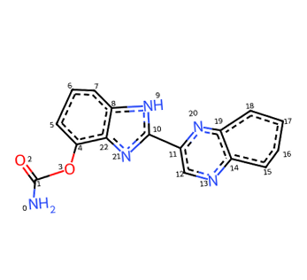 NC(=O)Oc1cccc2[nH]c(-c3cnc4ccccc4n3)nc12